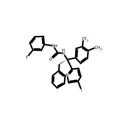 Cc1ccc([C@](Cc2ccccc2)(NC(=O)Nc2cccc(F)c2)c2ccc(I)cn2)cc1C(F)(F)F